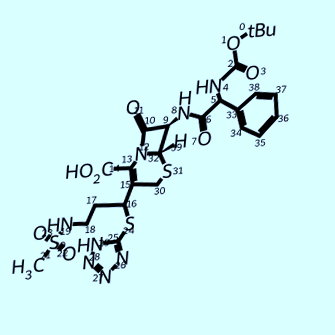 CC(C)(C)OC(=O)NC(C(=O)N[C@@H]1C(=O)N2C(C(=O)O)=C(C(CCNS(C)(=O)=O)Sc3nnn[nH]3)CS[C@@H]12)c1ccccc1